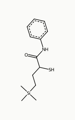 C[Si](C)(C)CCC(S)C(=O)Nc1ccccc1